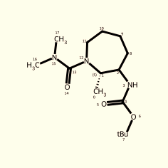 C[C@H]1C(NC(=O)OC(C)(C)C)CCCCN1C(=O)N(C)C